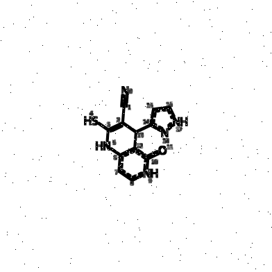 N#CC1=C(S)Nc2cc[nH]c(=O)c2C1c1cc[nH]n1